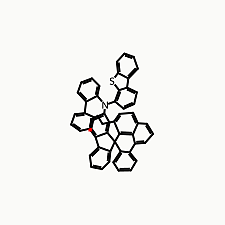 CCc1ccc2cccc3c2c1C1(c2ccccc2-c2ccc(N(c4ccccc4-c4ccccc4)c4cccc5c4sc4ccccc45)cc21)c1ccccc1-3